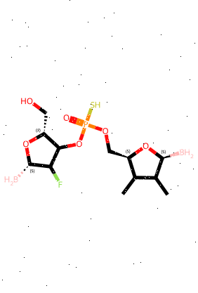 B[C@@H]1O[C@H](COP(=O)(S)OC2C(F)[C@H](B)O[C@@H]2CO)C(C)C1C